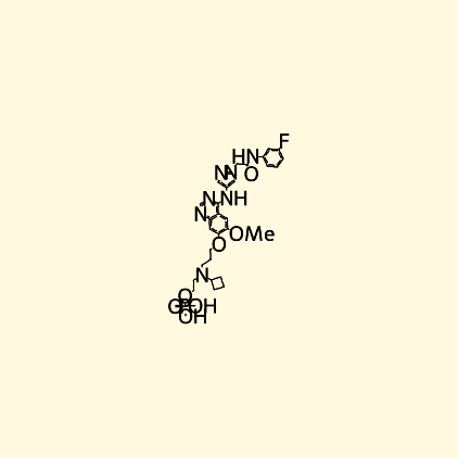 COc1cc2c(Nc3cnn(CC(=O)Nc4cccc(F)c4)c3)ncnc2cc1OCCCN(CCOP(=O)(O)O)C1CCC1